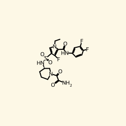 CCn1cc(S(=O)(=O)N[C@@H]2CCCN(C(=O)C(N)=O)C2)c(F)c1C(=O)Nc1ccc(F)c(F)c1